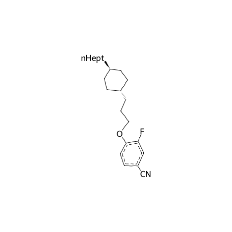 CCCCCCC[C@H]1CC[C@H](CCCOc2ccc(C#N)cc2F)CC1